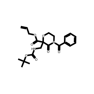 C=CCOC(=O)C1(CNC(=O)OC(C)(C)C)OCCN(C(=O)c2ccccc2)C1=O